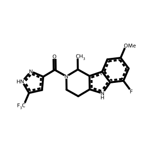 COc1cc(F)c2[nH]c3c(c2c1)C(C)N(C(=O)c1cc(C(F)(F)F)[nH]n1)CC3